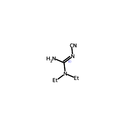 CCN(CC)/C(N)=N/C#N